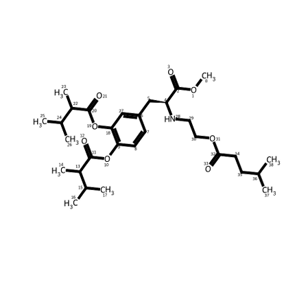 COC(=O)[C@H](Cc1ccc(OC(=O)C(C)C(C)C)c(OC(=O)C(C)C(C)C)c1)NCCOC(=O)CCC(C)C